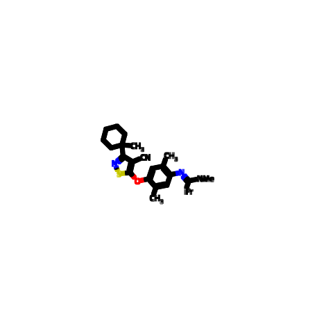 CNC(=Nc1cc(C)c(Oc2snc(C3(C)CCCCC3)c2C#N)cc1C)C(C)C